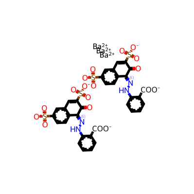 O=C1C(S(=O)(=O)[O-])=Cc2cc(S(=O)(=O)[O-])ccc2/C1=N\Nc1ccccc1C(=O)[O-].O=C1C(S(=O)(=O)[O-])=Cc2cc(S(=O)(=O)[O-])ccc2/C1=N\Nc1ccccc1C(=O)[O-].[Ba+2].[Ba+2].[Ba+2]